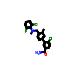 Cc1cc(-c2cc(C(N)=O)ccc2Cl)ccc1CN(C)c1c(F)cccc1Cl